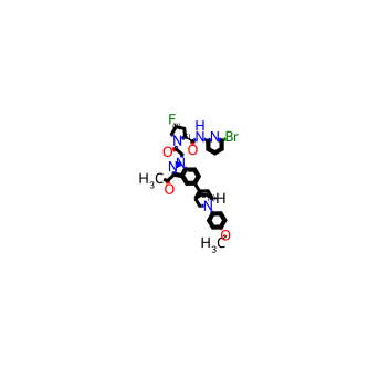 COc1ccc(N2CC3CC[C@H]2C=C3c2ccc3c(c2)c(C(C)=O)nn3CC(=O)N2C[C@H](F)C[C@H]2C(=O)Nc2cccc(Br)n2)cc1